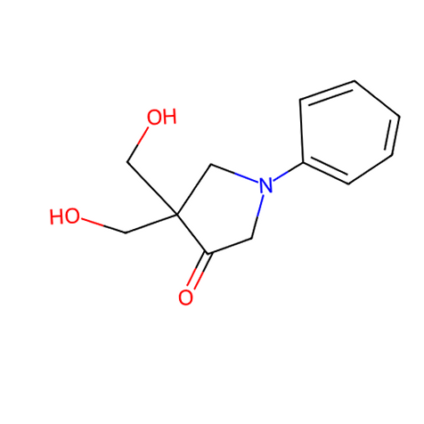 O=C1CN(c2ccccc2)CC1(CO)CO